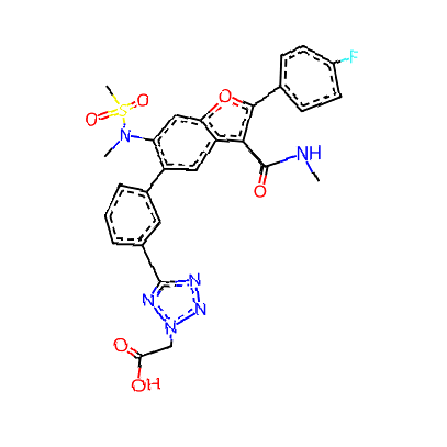 CNC(=O)c1c(-c2ccc(F)cc2)oc2cc(N(C)S(C)(=O)=O)c(-c3cccc(-c4nnn(CC(=O)O)n4)c3)cc12